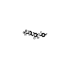 Cc1cc(OCc2ccc(F)cc2F)c(Br)c(=O)n1Cc1ccnc(C[SH](=O)=O)n1